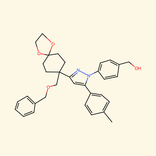 Cc1ccc(-c2cc(C3(COCc4ccccc4)CCC4(CC3)OCCO4)nn2-c2ccc(CO)cc2)cc1